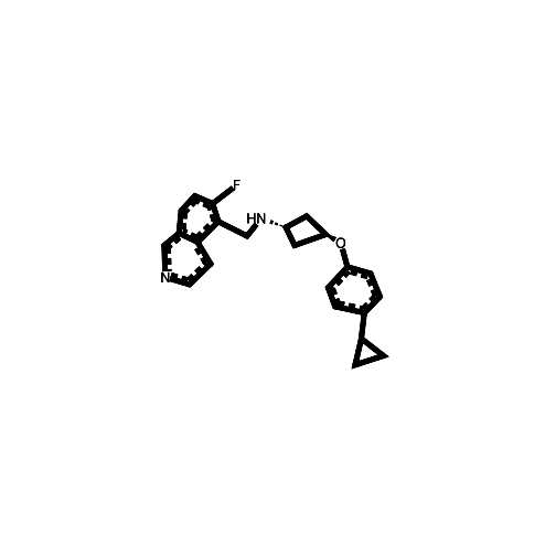 Fc1ccc2cnccc2c1CN[C@H]1C[C@H](Oc2ccc(C3CC3)cc2)C1